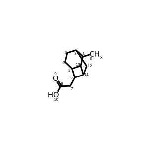 CC1C2CCC3C(CC(=O)O)C(C2)C13